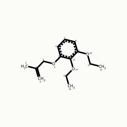 C=C(C)COc1cccc(OCC)c1OCC